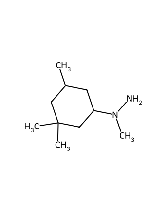 CC1CC(N(C)N)CC(C)(C)C1